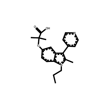 CCCn1c(C)c(-c2ccncc2)c2cc(OC(C)(C)C(=O)O)ccc21